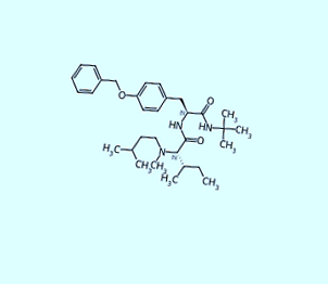 CCC(C)[C@@H](C(=O)N[C@@H](Cc1ccc(OCc2ccccc2)cc1)C(=O)NC(C)(C)C)N(C)CCC(C)C